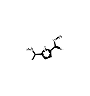 CNC(C)c1ccc(C(=O)OC(C)C)o1